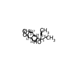 CC#CC(O)(CCC)c1ccc2cc(OC)ccc2c1